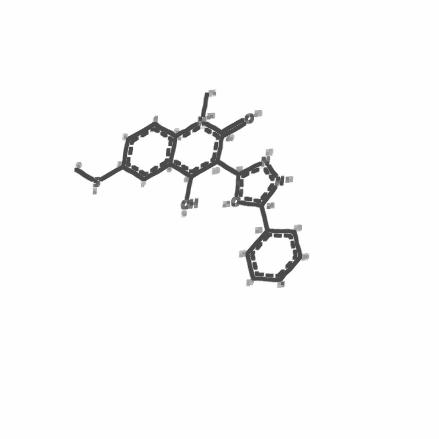 CSc1ccc2c(c1)c(O)c(-c1nnc(-c3ccccc3)o1)c(=O)n2C